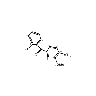 COc1cc(C(=O)c2ccccc2F)ccc1C